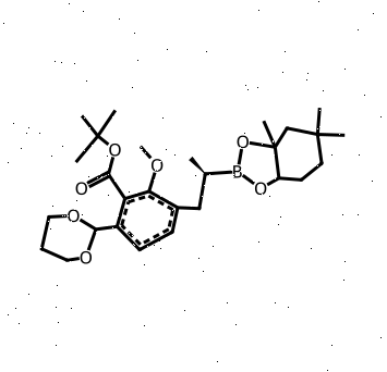 COc1c(C[C@@H](C)B2OC3CCC(C)(C)CC3(C)O2)ccc(C2OCCCO2)c1C(=O)OC(C)(C)C